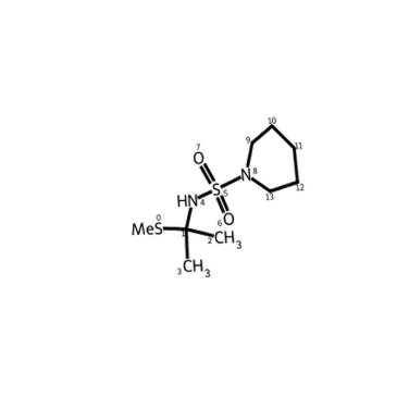 CSC(C)(C)NS(=O)(=O)N1CCCCC1